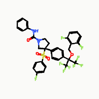 O=C(Nc1ccccc1)N1CCC(c2ccc(C(OCc3c(F)cccc3F)(C(F)(F)F)C(F)(F)F)cc2)(S(=O)(=O)c2ccc(F)cc2)C1